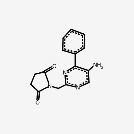 Nc1cnc(CN2C(=O)CCC2=O)nc1-c1ccccc1